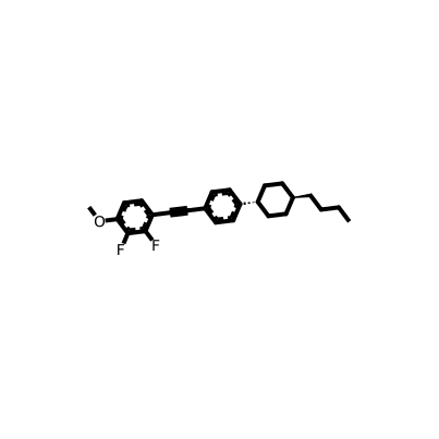 CCCC[C@H]1CC[C@H](c2ccc(C#Cc3ccc(OC)c(F)c3F)cc2)CC1